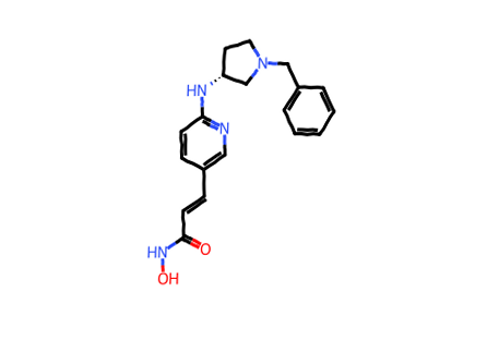 O=C(/C=C/c1ccc(N[C@@H]2CCN(Cc3ccccc3)C2)nc1)NO